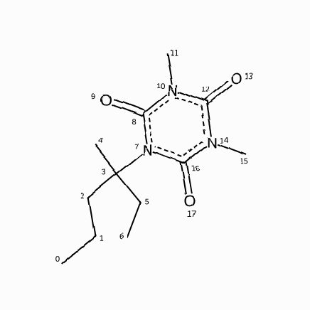 CCCC(C)(CC)n1c(=O)n(C)c(=O)n(C)c1=O